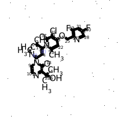 C=C(C)/C(=C\C(=N/C)n1ccnc(C(C)(C)O)c1=O)n1c(C)cc(OCc2ncc(F)cc2F)c(Cl)c1=O